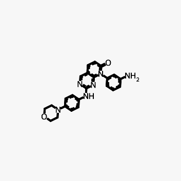 Nc1cccc(-n2c(=O)ccc3cnc(Nc4ccc(N5CCOCC5)cc4)nc32)c1